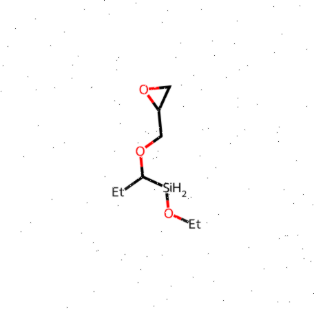 CCO[SiH2]C(CC)OCC1CO1